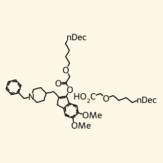 CCCCCCCCCCCCCCOCC(=O)O.CCCCCCCCCCCCCCOCC(=O)OC1=C(CC2CCN(Cc3ccccc3)CC2)Cc2cc(OC)c(OC)cc21